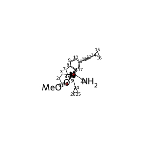 COC1CCC2(CC1)Cc1ccc(C#CC3CC3)cc1C21N=C(N)N(C2CC2)C1=O